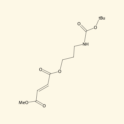 COC(=O)/C=C/C(=O)OCCCNC(=O)OC(C)(C)C